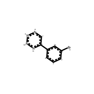 Brc1cccc(-c2cnnnn2)c1